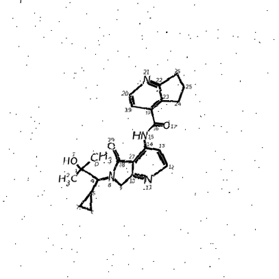 CC(C)(O)C(C1CC1)N1Cc2nccc(NC(=O)c3ccnc4c3CCC4)c2C1=O